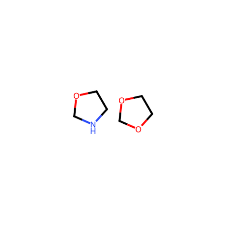 C1COCN1.C1COCO1